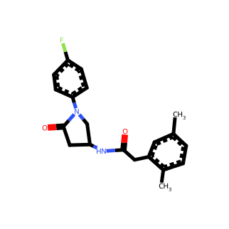 Cc1ccc(C)c(CC(=O)NC2CC(=O)N(c3ccc(F)cc3)C2)c1